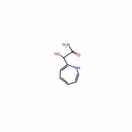 NC(=O)C(O)C1=CC=CC=CN1